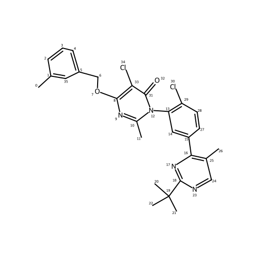 Cc1cccc(COc2nc(C)n(-c3cc(-c4nc(C(C)(C)C)ncc4C)ccc3Cl)c(=O)c2Cl)c1